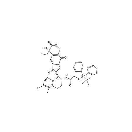 CC[C@@]1(O)C(=O)OCc2c1cc1n(c2=O)Cc2c-1nc1cc(Cl)c(C)c3c1c2[C@H](NC(=O)CO[Si](c1ccccc1)(c1ccccc1)C(C)(C)C)CC3